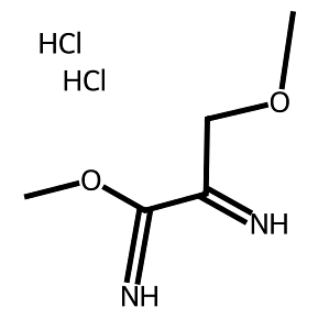 COCC(=N)C(=N)OC.Cl.Cl